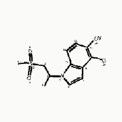 CC(CS(C)(=O)=O)n1ccc2c(Cl)c(C#N)ccc21